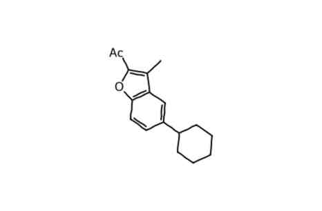 CC(=O)c1oc2ccc(C3CCCCC3)cc2c1C